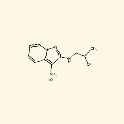 CC(O)CNc1nn2ccccc2c1N.Cl